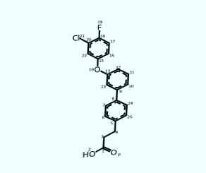 O=C(O)CCc1ccc(-c2cccc(Oc3ccc(F)c(Cl)c3)c2)cc1